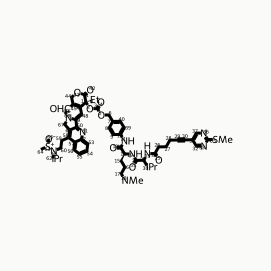 CC[C@@]1(OC(=O)OCc2ccc(NC(=O)[C@H](CCCNC)NC(=O)C(NC(=O)CCCC#Cc3cnc(SC)nc3)C(C)C)cc2)C(=O)OCC(C=O)=C1/C=C1/c2nc3ccccc3c(CCN(C(C)C)[S+](C)[O-])c2CN1C